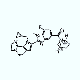 Cn1c(-c2cc3ccn4ccnc4c3n2CC2CC2)nc2cc(C(=O)N3C[C@H]4CC[C@@H]3C4)cc(F)c21